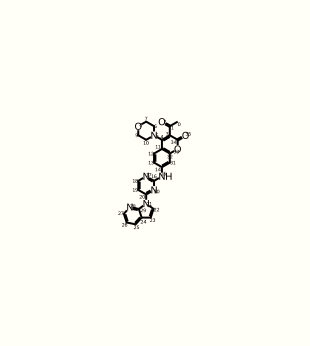 CC(=O)c1c(N2CCOCC2)c2ccc(Nc3nccc(-n4ccc5cccnc54)n3)cc2oc1=O